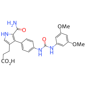 COc1cc(NC(=O)Nc2ccc(-c3c(CCC(=O)O)c[nH]c3C(N)=O)cc2)cc(OC)c1